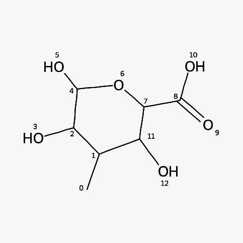 CC1C(O)C(O)OC(C(=O)O)C1O